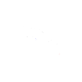 Oc1ccc(-c2[c]cc3ccccc3n2)cc1